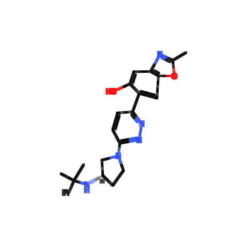 Cc1nc2cc(O)c(-c3ccc(N4CC[C@H](NC(C)(C)C(C)C)C4)nn3)cc2o1